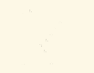 COc1ccc(OC)c(-n2cc(-c3ccccc3S(=O)(=O)c3ccc([N+](=O)[O-])cc3)nn2)c1